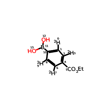 [2H]c1c([2H])c(C(=O)OCC)c([2H])c([2H])c1B(O)O